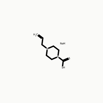 C=CCN1CCN(C(=S)S)CC1.[NaH]